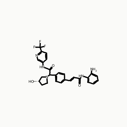 Nc1ccccc1NC(=O)C=Cc1ccc(C(C(=O)Nc2ccc(C(F)(F)F)nc2)N2CC[C@H](O)C2)cc1